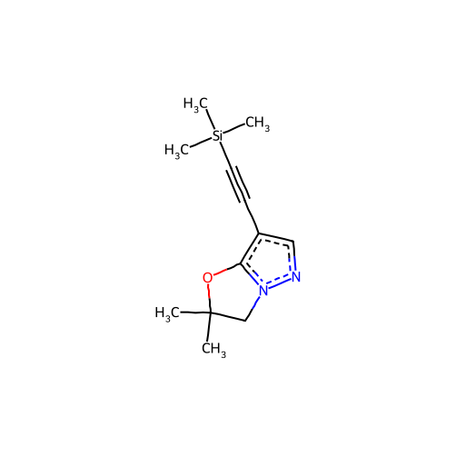 CC1(C)Cn2ncc(C#C[Si](C)(C)C)c2O1